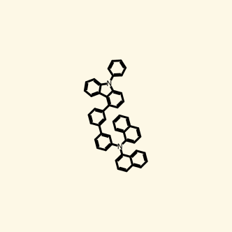 c1ccc(-n2c3ccccc3c3c(-c4cccc(-c5cccc(N(c6cccc7ccccc67)c6cccc7ccccc67)c5)c4)cccc32)cc1